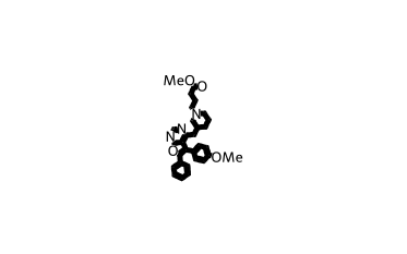 COC(=O)CCCN1CCCC(Cc2ncnc3oc(-c4ccccc4)c(-c4ccc(OC)cc4)c23)C1